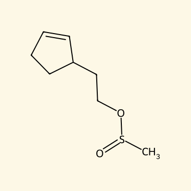 CS(=O)OCCC1C=CCC1